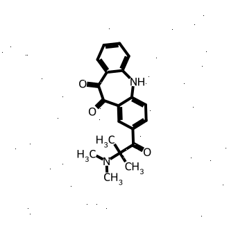 CN(C)C(C)(C)C(=O)c1ccc2[nH]c3ccccc3c(=O)c(=O)c2c1